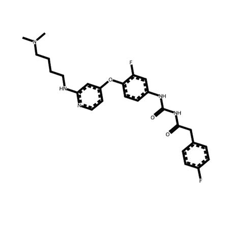 CN(C)CCCCNc1cc(Oc2ccc(NC(=O)NC(=O)Cc3ccc(F)cc3)cc2F)ccn1